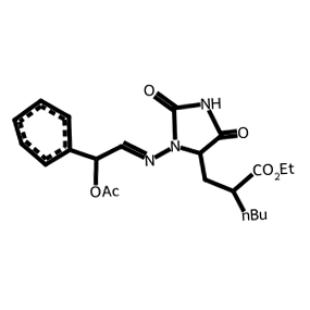 CCCCC(CC1C(=O)NC(=O)N1N=CC(OC(C)=O)c1ccccc1)C(=O)OCC